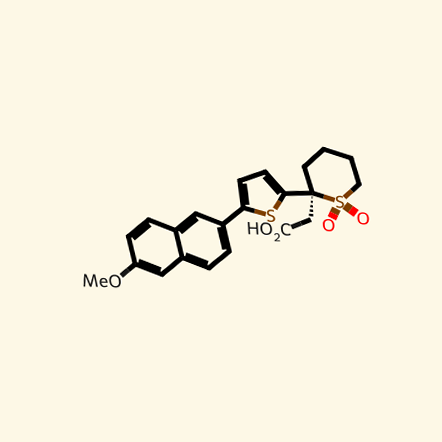 COc1ccc2cc(-c3ccc([C@@]4(CC(=O)O)CCCCS4(=O)=O)s3)ccc2c1